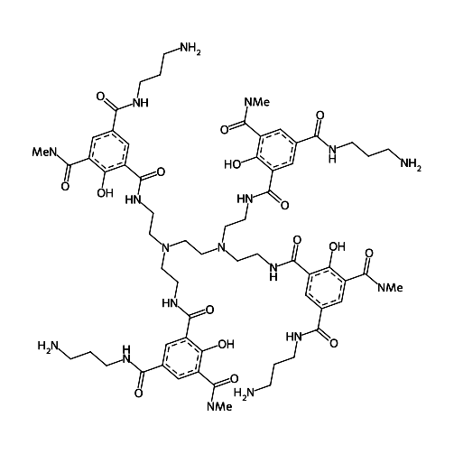 CNC(=O)c1cc(C(=O)NCCCN)cc(C(=O)NCCN(CCNC(=O)c2cc(C(=O)NCCCN)cc(C(=O)NC)c2O)CCN(CCNC(=O)c2cc(C(=O)NCCCN)cc(C(=O)NC)c2O)CCNC(=O)c2cc(C(=O)NCCCN)cc(C(=O)NC)c2O)c1O